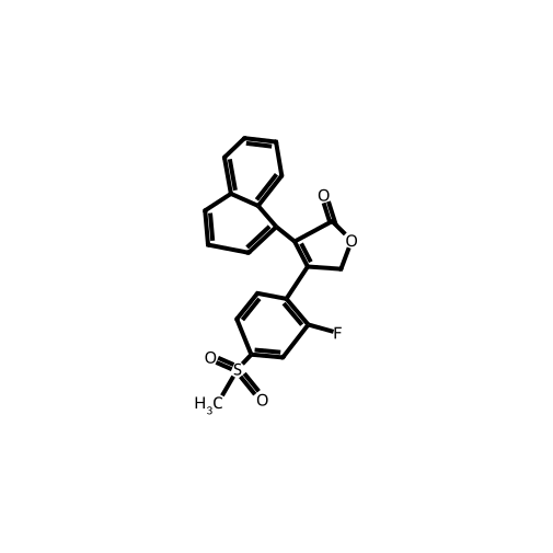 CS(=O)(=O)c1ccc(C2=C(c3cccc4ccccc34)C(=O)OC2)c(F)c1